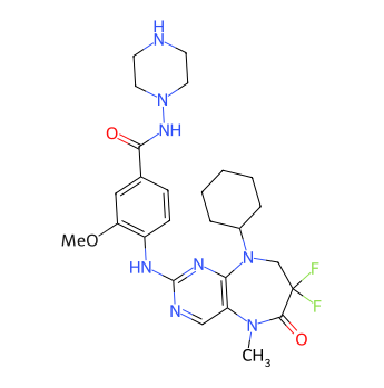 COc1cc(C(=O)NN2CCNCC2)ccc1Nc1ncc2c(n1)N(C1CCCCC1)CC(F)(F)C(=O)N2C